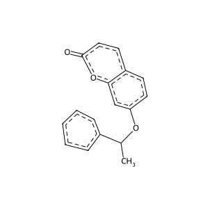 CC(Oc1ccc2ccc(=O)oc2c1)c1ccccc1